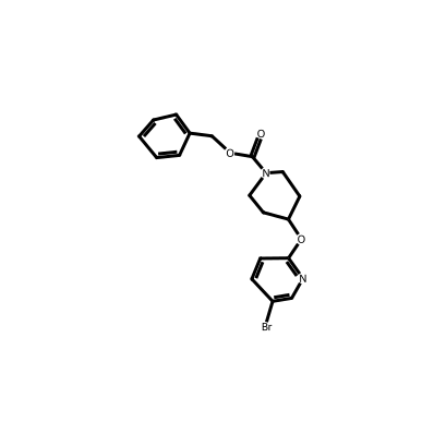 O=C(OCc1ccccc1)N1CCC(Oc2ccc(Br)cn2)CC1